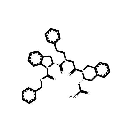 COC(=O)C[C@H]1Cc2ccccc2CN1C(=O)CN(CCc1ccccc1)C(=O)[C@H]1Cc2ccccc2N1C(=O)OCc1ccccc1